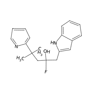 CC(C)(CC(O)(F)Cc1cc2ccccc2[nH]1)c1ccccn1